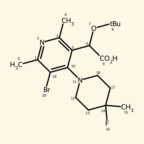 Cc1nc(C)c(C(OC(C)(C)C)C(=O)O)c(N2CCC(C)(F)CC2)c1Br